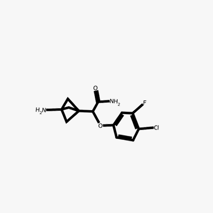 NC(=O)C(Oc1ccc(Cl)c(F)c1)C12CC(N)(C1)C2